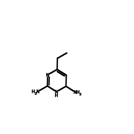 CCC1=CC(N)NC(N)=N1